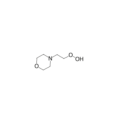 OOCCN1CCOCC1